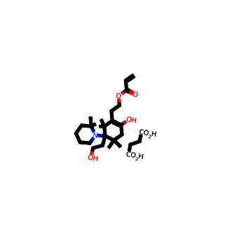 C=CC(=O)OCCC1=C(O)CC(C)(C)C(CCO)(N2CCCCC2(C)C)C1(C)C.O=C(O)CCC(=O)O